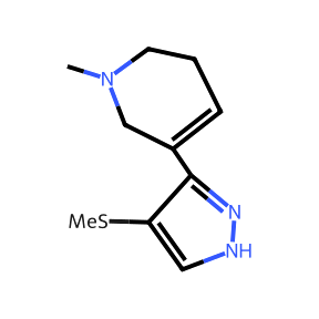 CSc1c[nH]nc1C1=CCCN(C)C1